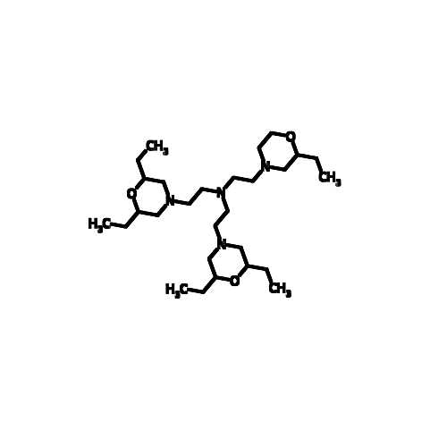 CCC1CN(CCN(CCN2CC(CC)OC(CC)C2)CCN2CC(CC)OC(CC)C2)CCO1